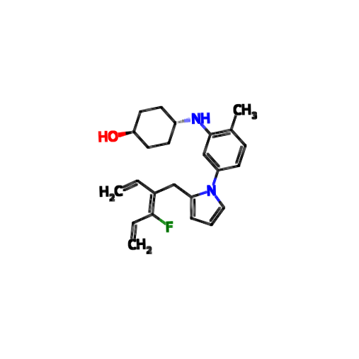 C=C/C(F)=C(\C=C)Cc1cccn1-c1ccc(C)c(N[C@H]2CC[C@H](O)CC2)c1